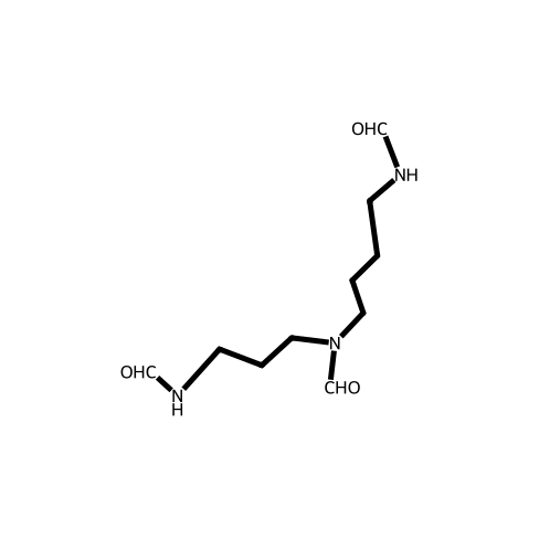 O=CNCCCCN(C=O)CCCNC=O